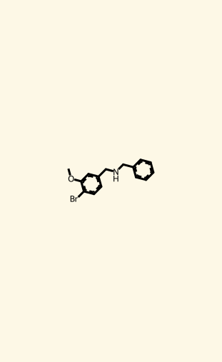 COc1cc(CNCc2ccccc2)ccc1Br